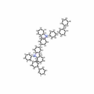 c1ccc(-c2ccc(-c3ccccc3-n3c4ccccc4c4cc(-c5ccc6c(c5)c5ccccc5n6-c5ccc(-c6cccc(-c7ccccc7)c6)cc5)ccc43)cc2)cc1